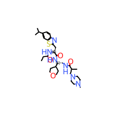 CCC(=O)N[C@@H](Cc1nc2ccc(C(C)C)cc2s1)C(=O)N[C@H](CNC(=O)C(C)CN1CCN(C)CC1)C1CCOCC1